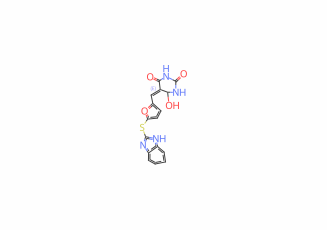 O=C1NC(=O)/C(=C/c2ccc(Sc3nc4ccccc4[nH]3)o2)C(O)N1